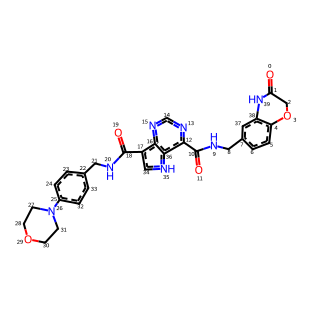 O=C1COc2ccc(CNC(=O)c3ncnc4c(C(=O)NCc5ccc(N6CCOCC6)cc5)c[nH]c34)cc2N1